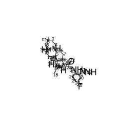 C[C@H]1CC[C@@H]2C3CC[C@@]4(C)C([C@@H]3CC[C@@H]2C1)[C@@H]1[C@H](C)[C@@H]1[C@@H]4C(=O)CNc1ccc(F)cc1N=N